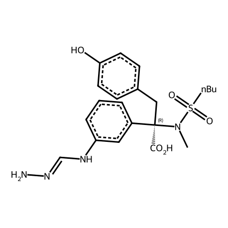 CCCCS(=O)(=O)N(C)[C@@](Cc1ccc(O)cc1)(C(=O)O)c1cccc(NC=NN)c1